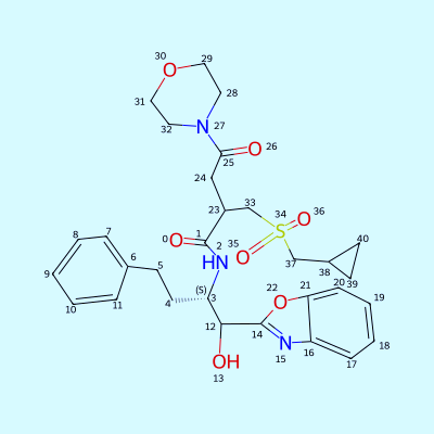 O=C(N[C@@H](CCc1ccccc1)C(O)c1nc2ccccc2o1)C(CC(=O)N1CCOCC1)CS(=O)(=O)CC1CC1